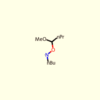 CCCC[N]OC(CCC)OC